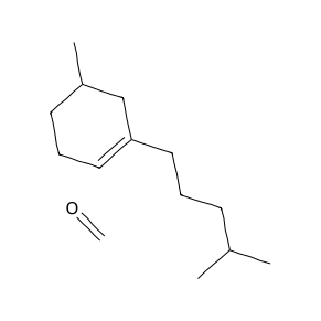 C=O.CC(C)CCCC1=CCCC(C)C1